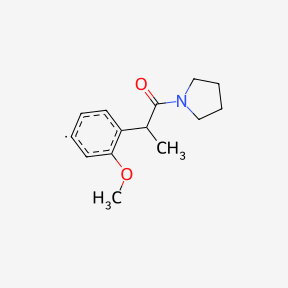 COc1c[c]ccc1C(C)C(=O)N1CCCC1